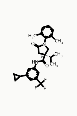 Cc1cccc(C)c1N1C[C@](C(=O)Nc2cc(C3CC3)cc(C(F)(F)F)c2)(C(C)C)CC1=O